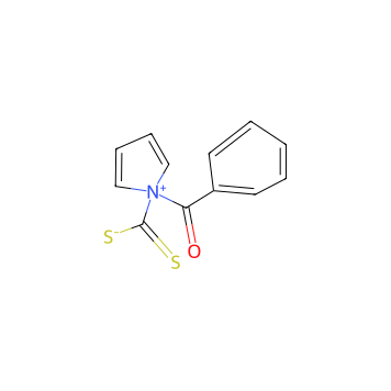 O=C(c1ccccc1)[N+]1(C(=S)[S-])C=CC=C1